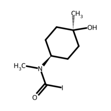 CN(C(=O)I)[C@H]1CC[C@@](C)(O)CC1